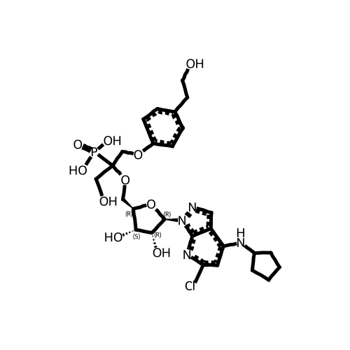 O=P(O)(O)C(CO)(COc1ccc(CCO)cc1)OC[C@H]1O[C@@H](n2ncc3c(NC4CCCC4)cc(Cl)nc32)[C@H](O)[C@@H]1O